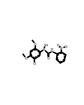 COc1cc(OC)c(N(S)C(=O)Nc2ccccc2[N+](=O)[O-])cc1Cl